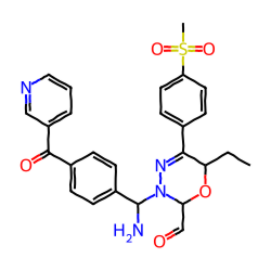 CCC1OC(C=O)N(C(N)c2ccc(C(=O)c3cccnc3)cc2)N=C1c1ccc(S(C)(=O)=O)cc1